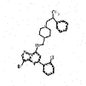 CC(CN1CCC(CNc2cc(-c3ccccc3Cl)nc3c(Br)cnn23)CC1)c1ccccc1